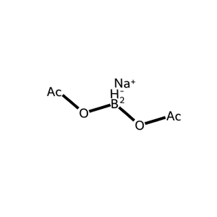 CC(=O)O[BH2-]OC(C)=O.[Na+]